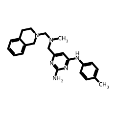 Cc1ccc(Nc2cc(CN(C)CN3CCc4ccccc4C3)nc(N)n2)cc1